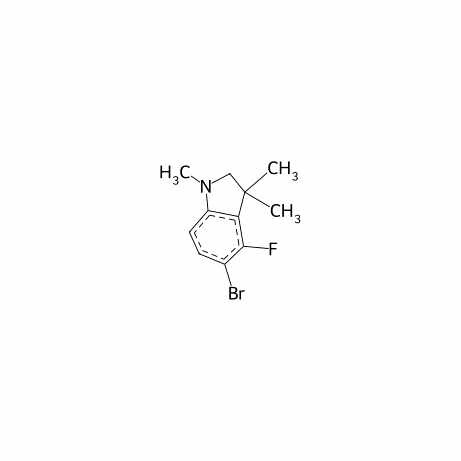 CN1CC(C)(C)c2c1ccc(Br)c2F